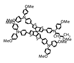 CO/C(C)=C/C=C(\C)N(c1ccc(OC)cc1)c1ccc(-c2cc3c(s2)-c2sc(-c4ccc(N(c5ccc(OC)cc5)c5ccc(OC)cc5)cc4)cc2C32c3cc(-c4ccc(N(c5ccc(OC)cc5)c5ccc(OC)cc5)cc4)sc3-c3sc(-c4ccc(N(c5ccc(OC)cc5)c5ccc(OC)cc5)cc4)cc32)cc1